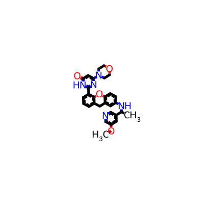 COc1cncc(C(C)Nc2ccc3c(c2)Cc2cccc(-c4nc(N5CCOCC5)cc(=O)[nH]4)c2O3)c1